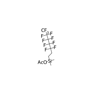 CC(=O)O[Si](C)(C)CCC(F)(F)C(F)(F)C(F)(F)C(F)(F)C(F)(F)F